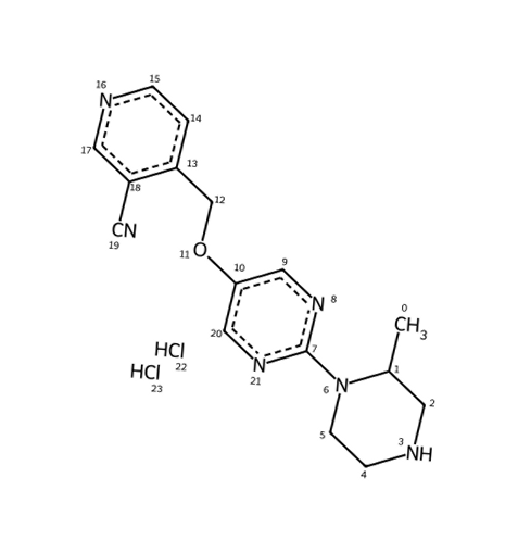 CC1CNCCN1c1ncc(OCc2ccncc2C#N)cn1.Cl.Cl